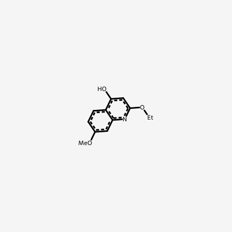 CCOc1cc(O)c2ccc(OC)cc2n1